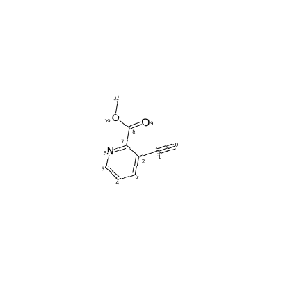 C#Cc1cccnc1C(=O)OC